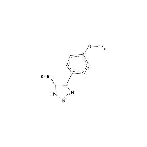 O=CC1NN=NN1c1ccc(OC(F)(F)F)cc1